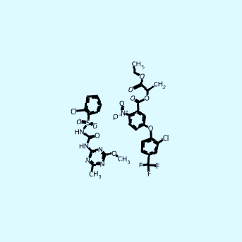 CCOC(=O)C(C)OC(=O)c1cc(Oc2ccc(C(F)(F)F)cc2Cl)ccc1[N+](=O)[O-].COc1nc(C)nc(NC(=O)NS(=O)(=O)c2ccccc2Cl)n1